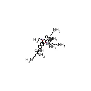 C/C=C\C1=C(/C=N/C(=O)[C@H](N)CCCCN)C2c3cc(NC(=O)[C@H](N)CCCCN)ccc3C1c1ccc(NC(=O)[C@H](N)CCCCN)cc12